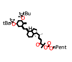 C=C1/C(=C\C=C2/CCC[C@]3(C)[C@@H]([C@H](C)/C=C/C(=O)C(C)(C)OC(=O)OCCCCC)CC[C@@H]23)C[C@@H](O[Si](C)(C)C(C)(C)C)C[C@@H]1O[Si](C)(C)C(C)(C)C